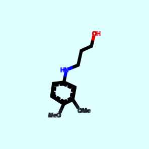 COc1ccc(NCCCO)cc1OC